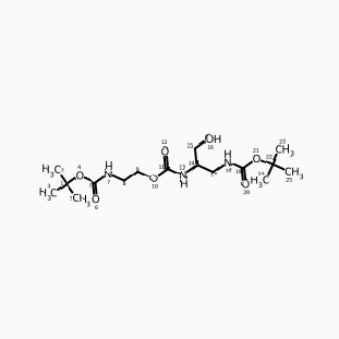 CC(C)(C)OC(=O)NCCOC(=O)NC(CO)CNC(=O)OC(C)(C)C